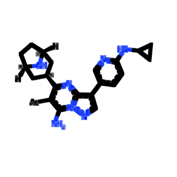 CC(=O)c1c([C@@H]2C[C@H]3CC[C@@H](C2)N3)nc2c(-c3ccc(NC4CC4)nc3)cnn2c1N